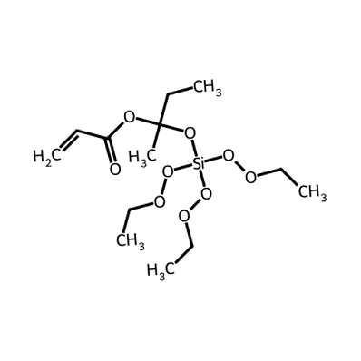 C=CC(=O)OC(C)(CC)O[Si](OOCC)(OOCC)OOCC